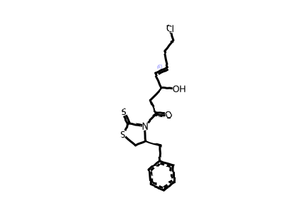 O=C(CC(O)/C=C/CCCl)N1C(=S)SCC1Cc1ccccc1